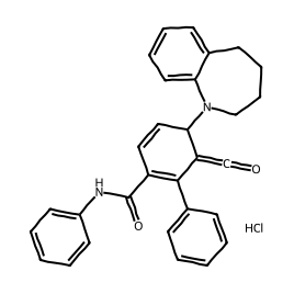 Cl.O=C=C1C(c2ccccc2)=C(C(=O)Nc2ccccc2)C=CC1N1CCCCc2ccccc21